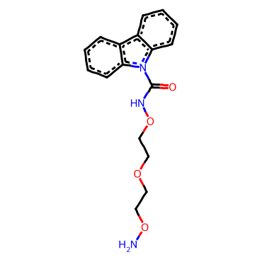 NOCCOCCONC(=O)n1c2ccccc2c2ccccc21